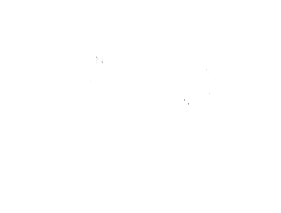 COc1ccc2[nH]cc3c2c1CCC3CNC(C)=O